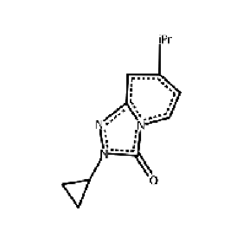 CC(C)c1ccn2c(=O)n(C3CC3)nc2c1